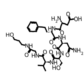 CC(C)[C@H](NC(=O)[C@H](CO)NC(=O)[C@H](CC(N)=O)NC(=O)[C@H](CCc1ccccc1)NC(=O)[C@@H](N)CC(=O)O)C(=O)NCC(=O)NCCCO